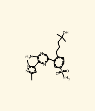 Cc1cc(-c2nc(-c3cc(S(N)(=O)=O)ccc3CCCC(C)(C)O)cnc2N)n(C)n1